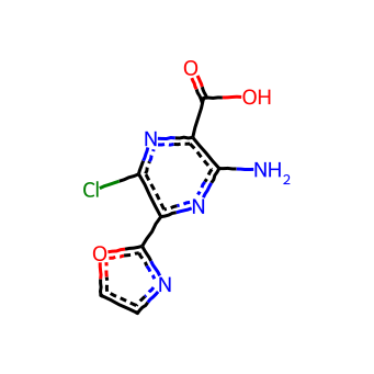 Nc1nc(-c2ncco2)c(Cl)nc1C(=O)O